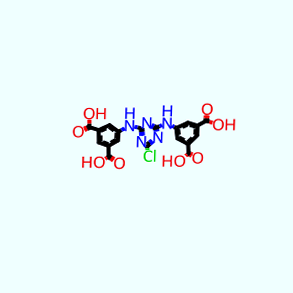 O=C(O)c1cc(Nc2nc(Cl)nc(Nc3cc(C(=O)O)cc(C(=O)O)c3)n2)cc(C(=O)O)c1